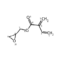 C=CC(=C)C(=O)OCC1CO1